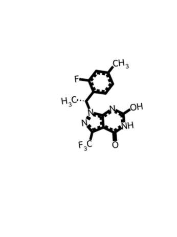 Cc1ccc([C@@H](C)n2nc(C(F)(F)F)c3c(=O)[nH]c(O)nc32)c(F)c1